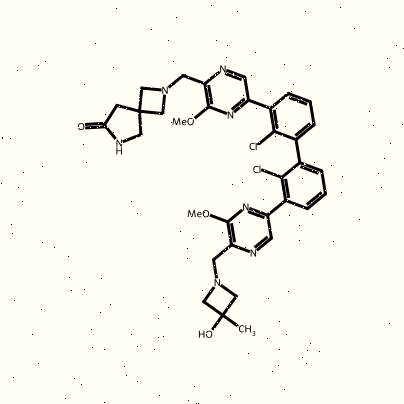 COc1nc(-c2cccc(-c3cccc(-c4cnc(CN5CC6(CNC(=O)C6)C5)c(OC)n4)c3Cl)c2Cl)cnc1CN1CC(C)(O)C1